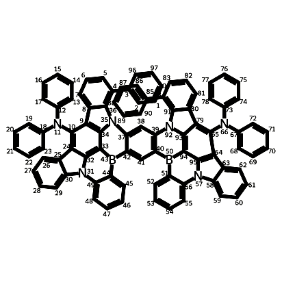 c1ccc(-c2cccc3c4c(N(c5ccccc5)c5ccccc5)c5c6ccccc6n6c5c5c4n(c23)-c2cc3c(cc2B5c2ccccc2-6)B2c4ccccc4-n4c5ccccc5c5c(N(c6ccccc6)c6ccccc6)c6c7cccc(-c8ccccc8)c7n-3c6c2c54)cc1